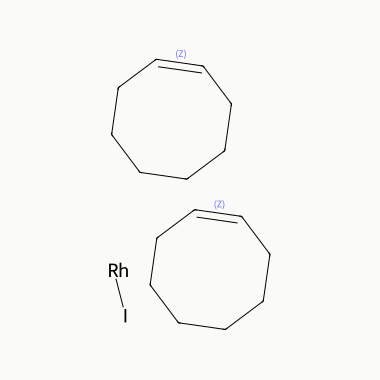 C1=C\CCCCCC/1.C1=C\CCCCCC/1.[Rh][I]